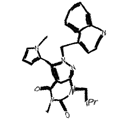 CC(C)Cn1c(=O)n(C)c(=O)c2c(-c3cccn3C)n(Cc3ccnc4ccccc34)nc21